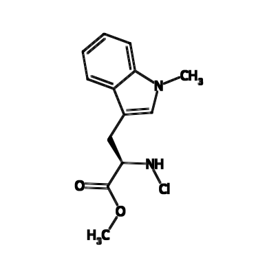 COC(=O)[C@@H](Cc1cn(C)c2ccccc12)NCl